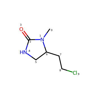 CN1C(=O)NCC1CCCl